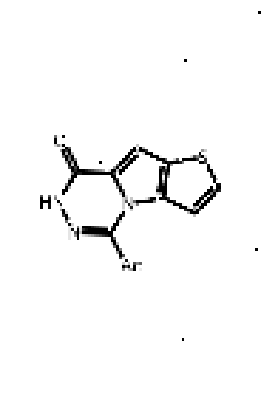 CC(=O)c1n[nH]c(=O)c2cc3sccc3n12